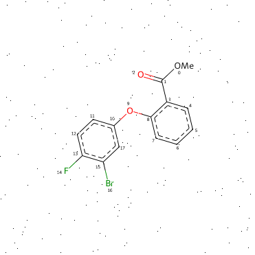 COC(=O)c1ccccc1Oc1ccc(F)c(Br)c1